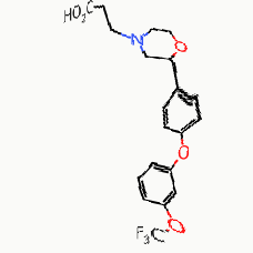 O=C(O)CCN1CCOC(c2ccc(Oc3cccc(OC(F)(F)F)c3)cc2)C1